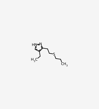 CCCSCCc1n[nH]cc1CC